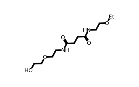 CCOCCNC(=O)CCC(=O)NCCOCCO